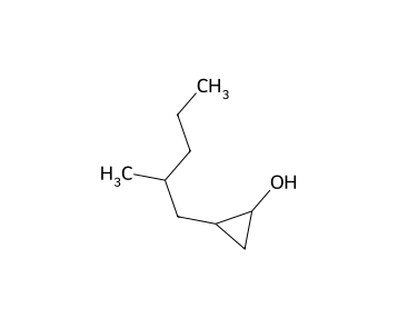 CCCC(C)CC1CC1O